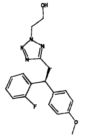 COc1ccc([C@H]([CH]c2nnn(CCO)n2)c2ccccc2F)cc1